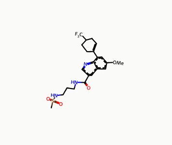 COc1cc(C2=CCC(C(F)(F)F)CC2)c2ncc(C(=O)NCCCNS(C)(=O)=O)cc2c1